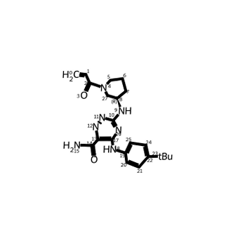 C=CC(=O)N1CCC[C@@H](Nc2nnc(C(N)=O)c(Nc3ccc(C(C)(C)C)cc3)n2)C1